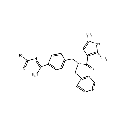 Cc1cc(C(=O)N(Cc2ccncc2)Cc2ccc(C(N)=NC(=O)O)cc2)c(C)[nH]1